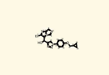 CCc1sc2cncn2c1C(O)c1cn(-c2ccc(OCC3CC3)cc2)nn1